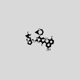 CCc1c(F)ccc2cc(O)cc(-c3ncc4c(N5CCCOC6CC65)nc(OC[C@@]56CCCN5C[C@@]5(CC5(F)F)C6)nc4c3F)c12